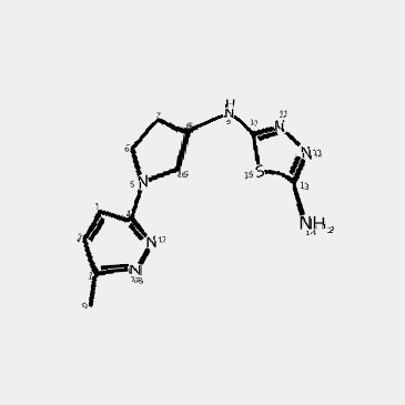 Cc1ccc(N2CCC(Nc3nnc(N)s3)C2)nn1